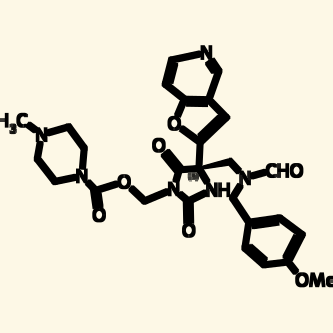 COc1ccc(CN(C=O)C[C@@]2(c3cc4cnccc4o3)NC(=O)N(COC(=O)N3CCN(C)CC3)C2=O)cc1